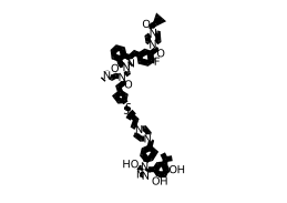 CC(C)c1cc(-c2nnc(O)n2-c2ccc(CN3CCN(CCC(C)(C)SSC4CCC(CC(=O)N(CCN(C)C)Cn5nc(Cc6ccc(F)c(C(=O)N7CCN(C(=O)C8CC8)CC7)c6)c6ccccc6c5=O)C4)CC3)cc2)c(O)cc1O